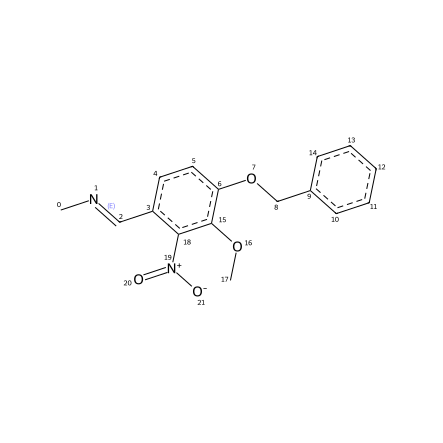 C/N=C/c1ccc(OCc2ccccc2)c(OC)c1[N+](=O)[O-]